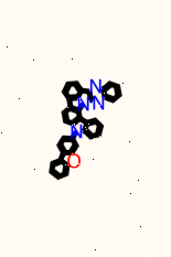 c1ccc2nc3c(nc2c1)c1cccc2c4ccc5c(c6ccccc6n5-c5ccc6c(c5)oc5ccccc56)c4n3c21